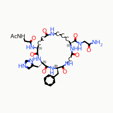 CC(=O)NCC(=O)N[C@H]1CCC(=O)NCCC[C@@H](C(=O)NCC(N)=O)NC(=O)CNC(=O)[C@@H](Cc2ccccc2)NC(=O)[C@H](Cc2c[nH]cn2)NC1=O